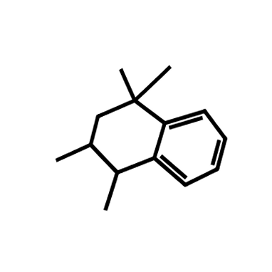 C[C]1c2ccccc2C(C)(C)CC1C